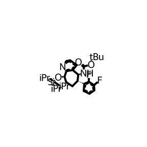 CC(C)[Si](O[C@@H]1CC[C@@H](c2cccc(F)c2F)[C@H](NC(=O)OC(C)(C)C)c2cccnc21)(C(C)C)C(C)C